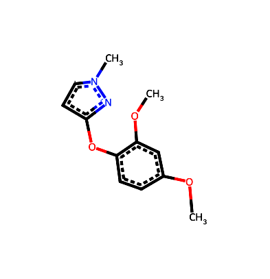 COc1ccc(Oc2c[c]n(C)n2)c(OC)c1